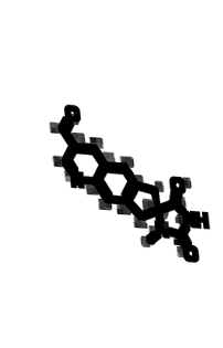 CN1C(=O)NC(=O)[C@]12Cc1cc3cc(C=O)cnc3cc1C2